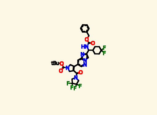 CC(C)(C)OC(=O)N1CC(C(=O)N2CC(F)(F)C(F)(F)C2)=C(c2cnn3cc([C@@H](NC(=O)OCc4ccccc4)C4CCC(F)(F)CC4)nc3c2)C1